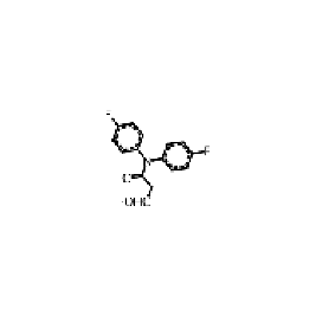 O=[C]CC(=O)N(c1ccc(F)cc1)c1ccc(F)cc1